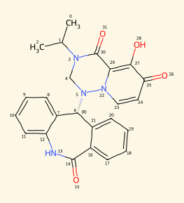 CC(C)N1CN([C@H]2c3ccccc3NC(=O)c3ccccc32)n2ccc(=O)c(O)c2C1=O